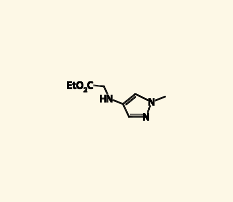 CCOC(=O)CNc1cnn(C)c1